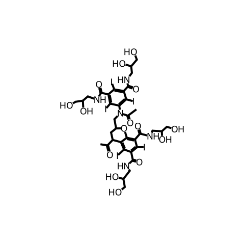 CC(=O)C1CC(CN(C(C)=O)c2c(I)c(C(=O)NCC(O)CO)c(I)c(C(=O)NCC(O)CO)c2I)Oc2c(C(=O)NCC(O)CO)c(I)c(C(=O)NCC(O)CO)c(I)c21